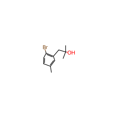 Cc1ccc(Br)c(CC(C)(C)O)c1